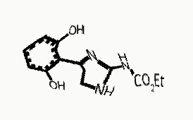 CCOC(=O)NC1=NC(c2c(O)cccc2O)CN1